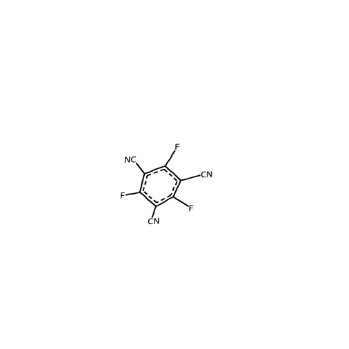 N#Cc1c(F)c(C#N)c(F)c(C#N)c1F